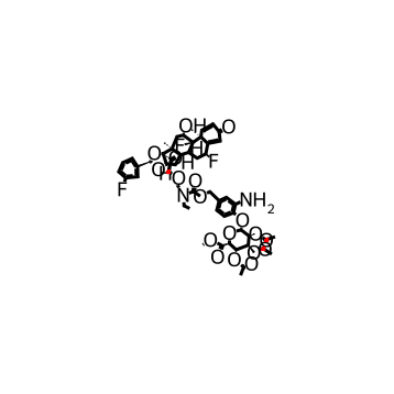 CCN(COCC(=O)[C@@]12O[C@H](c3cccc(F)c3)O[C@@H]1C[C@H]1[C@@H]3C[C@H](F)C4=CC(=O)C=C[C@]4(C)[C@@]3(F)[C@@H](O)C[C@@]12C)C(=O)OCc1ccc(O[C@@H]2O[C@H](C(=O)OC)[C@@H](OC(C)=O)[C@H](OC(C)=O)[C@H]2OC(C)=O)c(N)c1